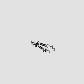 C=C.N=N